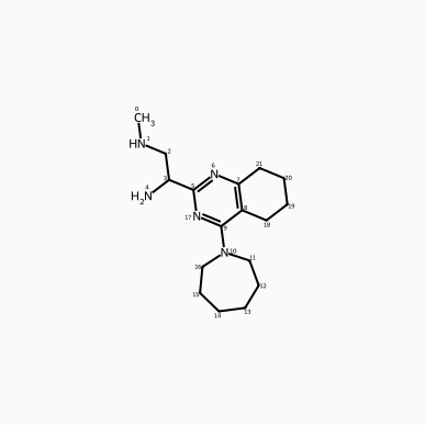 CNCC(N)c1nc2c(c(N3CCCCCC3)n1)CCCC2